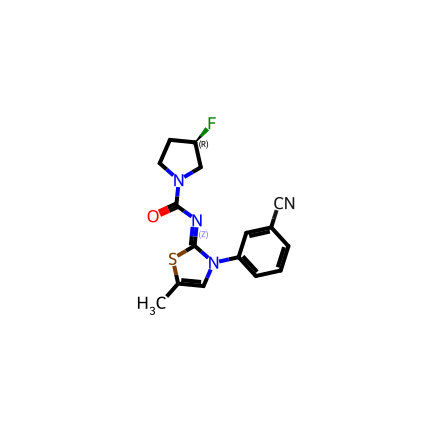 Cc1cn(-c2cccc(C#N)c2)/c(=N/C(=O)N2CC[C@@H](F)C2)s1